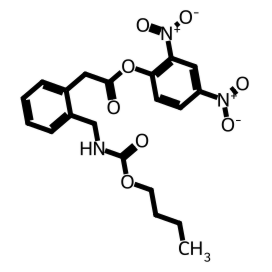 CCCCOC(=O)NCc1ccccc1CC(=O)Oc1ccc([N+](=O)[O-])cc1[N+](=O)[O-]